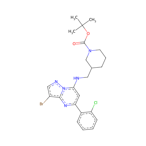 CC(C)(C)OC(=O)N1CCCC(CNc2cc(-c3ccccc3Cl)nc3c(Br)cnn23)C1